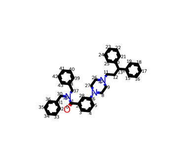 O=C(c1cccc(N2CCN(CCC(c3ccccc3)c3ccccc3)CC2)c1)N(Cc1ccccc1)Cc1ccccc1